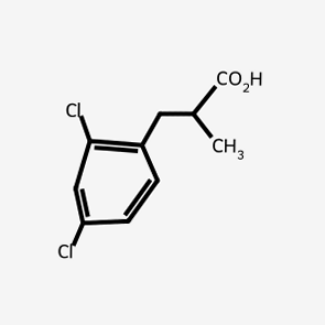 CC(Cc1ccc(Cl)cc1Cl)C(=O)O